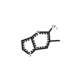 Cc1cc2sccc2nc1C(F)(F)F